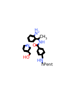 CCCCCNCc1ccc(C(=O)NC(C)c2ccccc2N)cc1.OCc1cccnc1